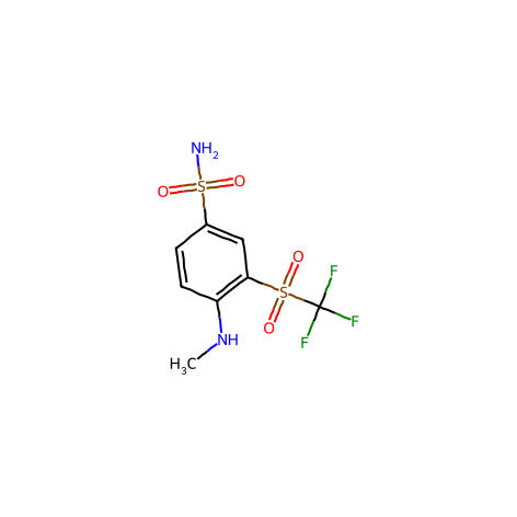 CNc1ccc(S(N)(=O)=O)cc1S(=O)(=O)C(F)(F)F